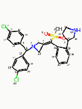 CS(=O)(=O)C(=C1CN(C(c2ccc(Cl)cc2)c2ccc(Cl)cc2)C1)c1ccccc1C1CCNC1